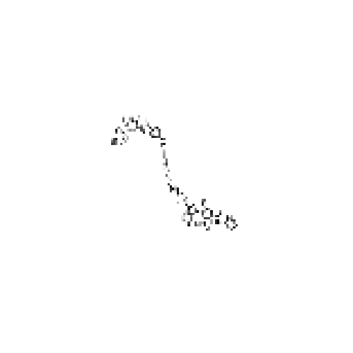 CC(C)(C)OC(=O)CCC(C(N)=O)N1Cc2cc(OCCCCOCCCCN3CC4(CCN(c5nc(-c6ccc(C(=O)Nc7cc(Cl)ccn7)cc6F)c6c(N)nccn56)CC4)C3)ccc2C1=O